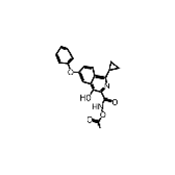 CC(=O)ONC(=O)c1nc(C2CC2)c2ccc(Oc3ccccc3)cc2c1O